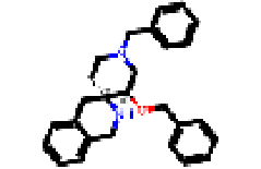 c1ccc(CO[C@@H]2CN(Cc3ccccc3)CC[C@]23Cc2ccccc2CN3)cc1